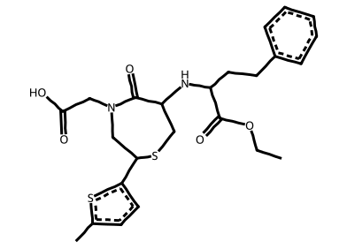 CCOC(=O)C(CCc1ccccc1)NC1CSC(c2ccc(C)s2)CN(CC(=O)O)C1=O